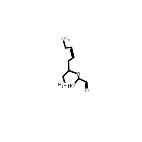 CC/C=C\CC(CC)OC(O)C=O